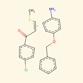 CS/C=C\C(=O)c1ccc(Cl)cc1.Nc1ccc(OCc2ccccc2)cc1